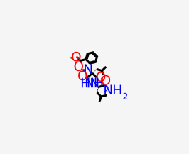 COC(=O)c1ccccc1N(C)[C@](CC(C)C)(C(N)=O)C(=O)N[C@@H](CC(C)C)C(N)=O